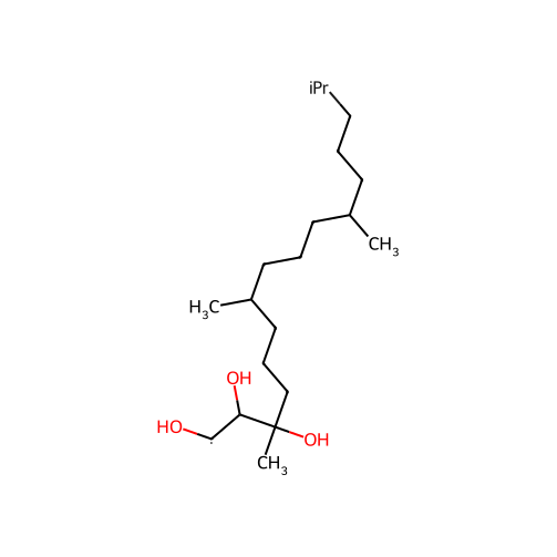 CC(C)CCCC(C)CCCC(C)CCCC(C)(O)C(O)[CH]O